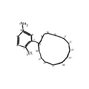 CCc1ccc(N)cc1C1CCCCCCCCCCCC1